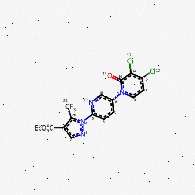 CCOC(=O)c1cnn(-c2ccc(-n3ccc(Cl)c(Cl)c3=O)cn2)c1C(F)(F)F